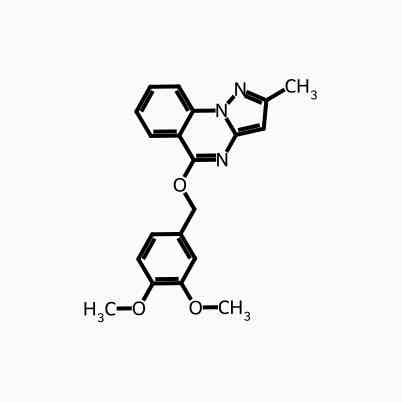 COc1ccc(COc2nc3cc(C)nn3c3ccccc23)cc1OC